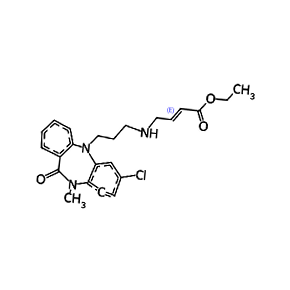 CCOC(=O)/C=C/CNCCCN1c2ccccc2C(=O)N(C)c2ccc(Cl)cc21